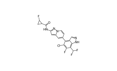 O=C(Nc1cc2cc(-c3c(Cl)c(F)c(C(F)F)c4[nH]ncc34)ccn2n1)C1CC1F